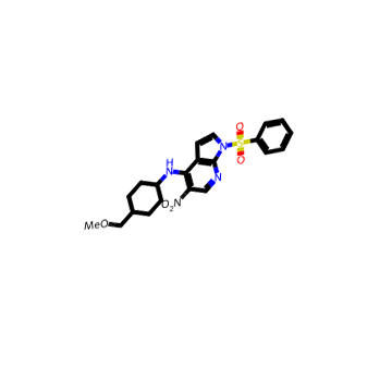 COCC1CCC(Nc2c([N+](=O)[O-])cnc3c2ccn3S(=O)(=O)c2ccccc2)CC1